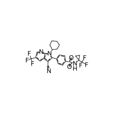 N#Cc1c(-c2ccc(S(=O)(=O)NC3(C(F)(F)F)CC3)cc2)n(C2CCCCC2)c2ncc(C(F)(F)F)cc12